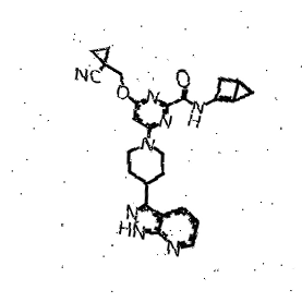 N#CC1(COc2cc(N3CCC(c4n[nH]c5ncccc45)CC3)nc(C(=O)NC3=C4CC4C3)n2)CC1